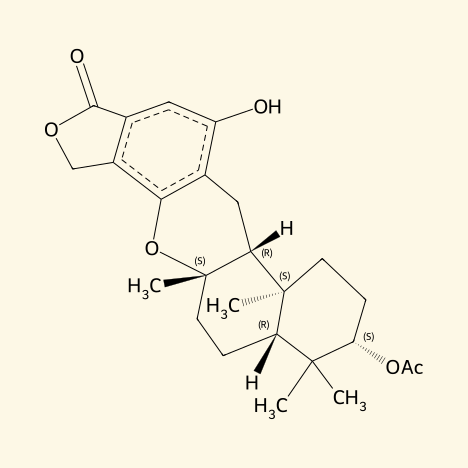 CC(=O)O[C@H]1CC[C@]2(C)[C@H]3Cc4c(O)cc5c(c4O[C@@]3(C)CC[C@H]2C1(C)C)COC5=O